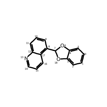 [c]1ccc2c(c1)OC(c1cccc3ncccc13)O2